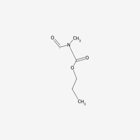 CCCOC(=O)N(C)[C]=O